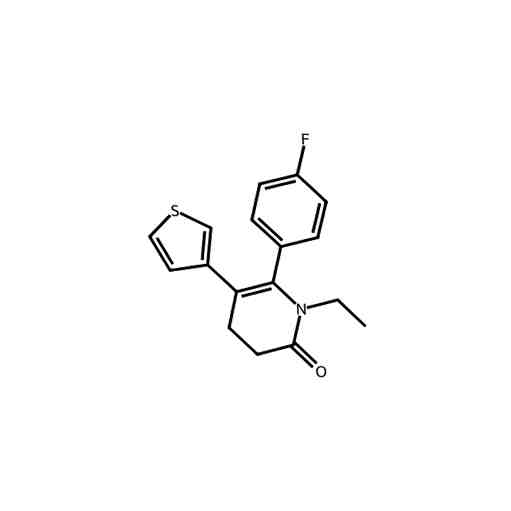 CCN1C(=O)CCC(c2ccsc2)=C1c1ccc(F)cc1